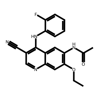 CCOc1cc2ncc(C#N)c(Nc3ccccc3F)c2cc1NC(C)=O